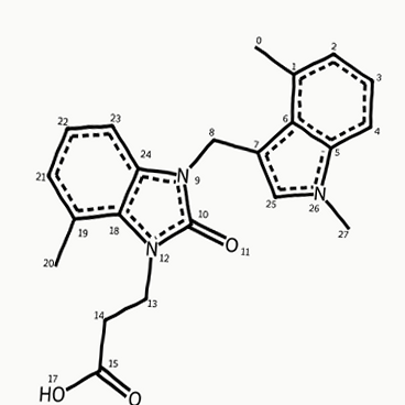 Cc1cccc2c1c(Cn1c(=O)n(CCC(=O)O)c3c(C)cccc31)cn2C